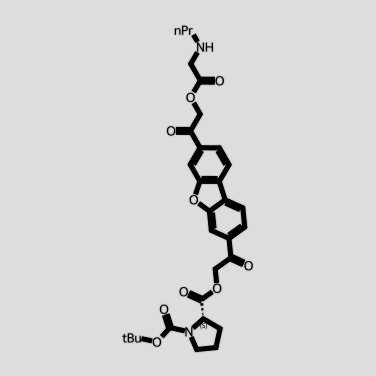 CCCNCC(=O)OCC(=O)c1ccc2c(c1)oc1cc(C(=O)COC(=O)[C@@H]3CCCN3C(=O)OC(C)(C)C)ccc12